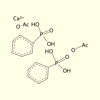 CC(=O)[O-].CC(=O)[O-].O=P(O)(O)c1ccccc1.O=P(O)(O)c1ccccc1.[Ca+2]